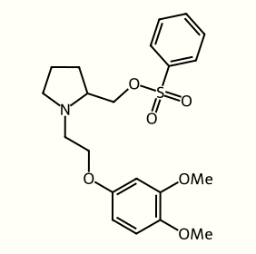 COc1ccc(OCCN2CCCC2COS(=O)(=O)c2ccccc2)cc1OC